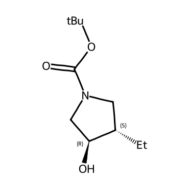 CC[C@H]1CN(C(=O)OC(C)(C)C)C[C@@H]1O